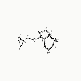 c1cc(OC[C@@H]2CO2)c2cccnc2c1